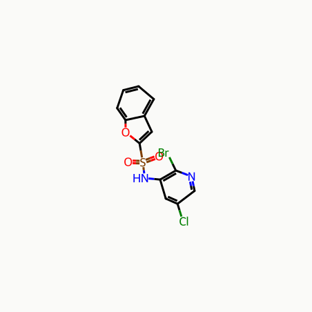 O=S(=O)(Nc1cc(Cl)cnc1Br)c1cc2ccccc2o1